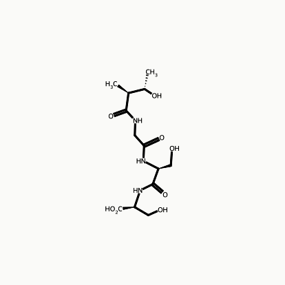 C[C@H](O)[C@H](C)C(=O)NCC(=O)N[C@@H](CO)C(=O)N[C@@H](CO)C(=O)O